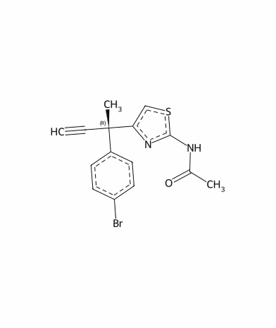 C#C[C@@](C)(c1ccc(Br)cc1)c1csc(NC(C)=O)n1